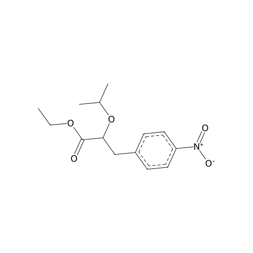 CCOC(=O)C(Cc1ccc([N+](=O)[O-])cc1)OC(C)C